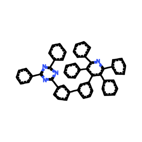 c1ccc(-c2nc(-c3ccccc3)nc(-c3cccc(-c4cccc(-c5c(-c6ccccc6)c(-c6ccccc6)nc(-c6ccccc6)c5-c5ccccc5)c4)c3)n2)cc1